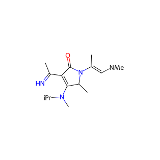 CN/C=C(\C)N1C(=O)C(C(C)=N)=C(N(C)C(C)C)C1C